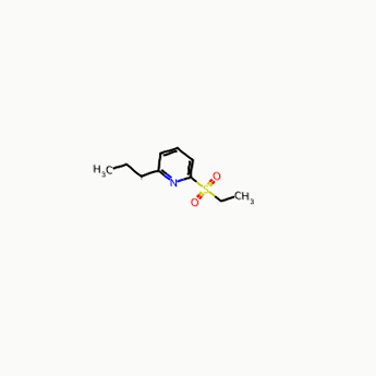 CC[CH]c1cccc(S(=O)(=O)CC)n1